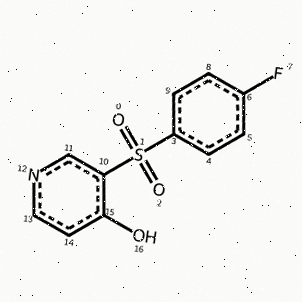 O=S(=O)(c1ccc(F)cc1)c1cnccc1O